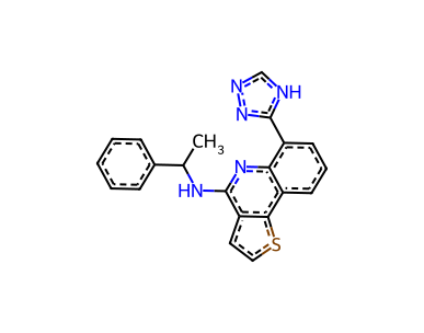 CC(Nc1nc2c(-c3nnc[nH]3)cccc2c2sccc12)c1ccccc1